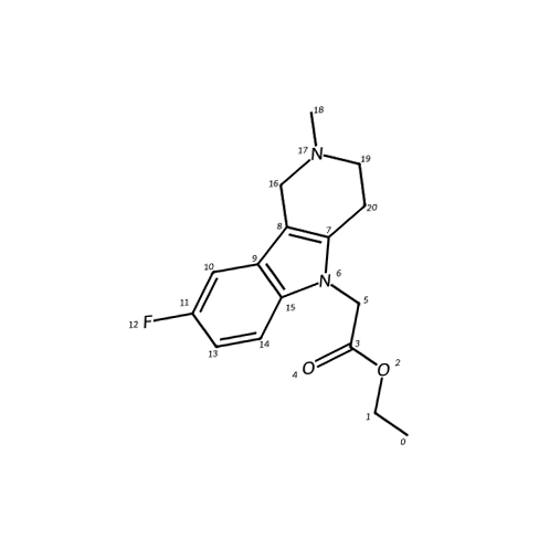 CCOC(=O)Cn1c2c(c3cc(F)ccc31)CN(C)CC2